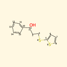 OC(CCSc1cccs1)c1ccccc1